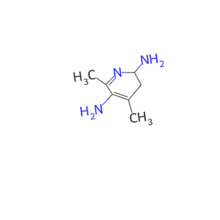 CC1=NC(N)CC(C)=C1N